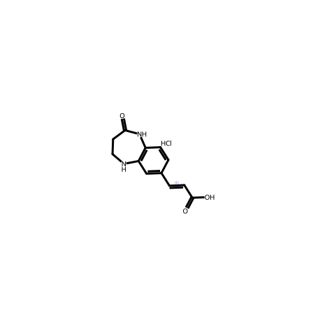 Cl.O=C(O)/C=C/c1ccc2c(c1)NCCC(=O)N2